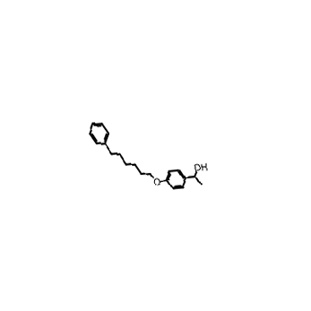 CC(O)c1ccc(OCCCCCCc2ccccc2)cc1